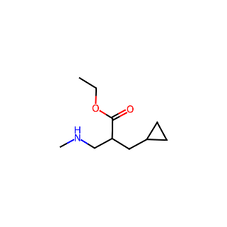 CCOC(=O)C(CNC)CC1CC1